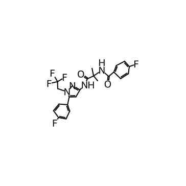 CC(C)(NC(=O)c1ccc(F)cc1)C(=O)Nc1cc(-c2ccc(F)cc2)n(CC(F)(F)F)n1